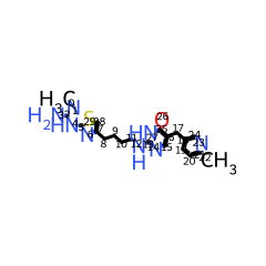 CN=C(N)Nc1nc(CCCCNc2ncc(Cc3ccc(C)nc3)c(=O)[nH]2)cs1